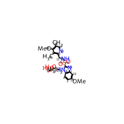 COc1ccc2[nH]c(S(=O)(=O)NCc3ncc(C)c(OC)c3C)nc2c1.O.O.[MgH2]